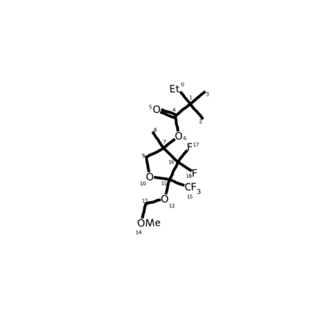 CCC(C)(C)C(=O)OC1(C)COC(OCOC)(C(F)(F)F)C1(F)F